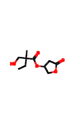 CCC(C)(CO)C(=O)OC1COC(=O)C1